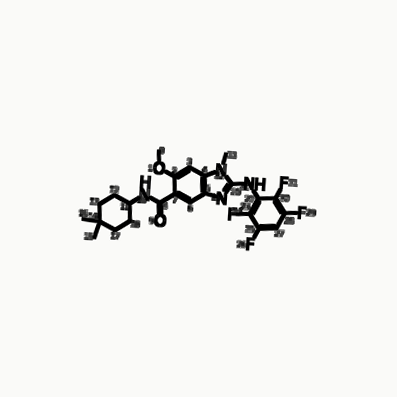 COc1cc2c(cc1C(=O)NC1CCC(C)(C)CC1)nc(Nc1c(F)c(F)cc(F)c1F)n2C